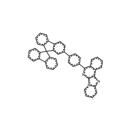 c1ccc2c(c1)-c1ccccc1C21c2ccccc2-c2ccc(-c3ccc(-c4nc5c(nc6ccccn65)c5ccccc45)cc3)cc21